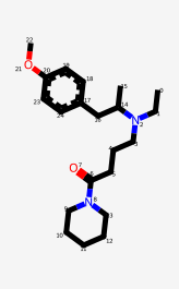 CCN(CCCC(=O)N1CCCCC1)C(C)Cc1ccc(OC)cc1